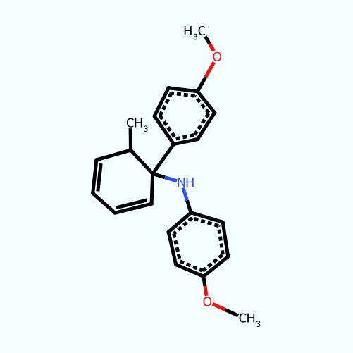 COc1ccc(NC2(c3ccc(OC)cc3)C=CC=CC2C)cc1